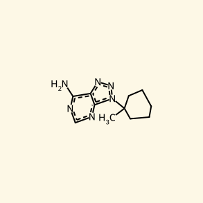 CC1(n2nnc3c(N)ncnc32)CCCCC1